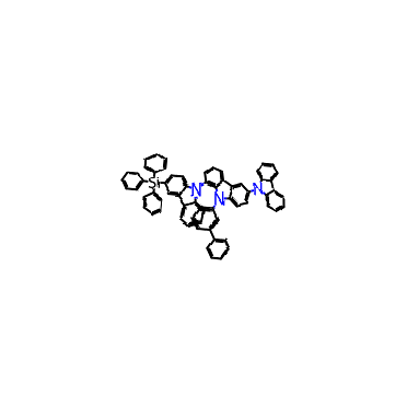 c1ccc(-c2cccc(-n3c4ccc(-n5c6ccccc6c6ccccc65)cc4c4cccc(-n5c6ccccc6c6cc([Si](c7ccccc7)(c7ccccc7)c7ccccc7)ccc65)c43)c2)cc1